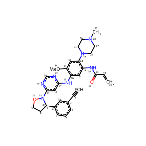 C#Cc1cccc([C@H]2CCON2c2cc(Nc3cc(NC(=O)C=C)c(N4CCN(C)CC4)cc3OC)ncn2)c1